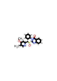 COc1cc(C[S+]([O-])c2nc3ccccc3c(=O)n2-c2ccccc2)ncc1C